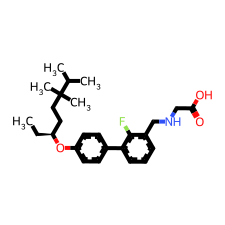 CC[C@@H](CCC(C)(C)C(C)C)Oc1ccc(-c2cccc(CNCC(=O)O)c2F)cc1